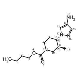 CCCCOC(=O)N1CC[C@H](n2cc(N)cn2)[C@@H](F)C1